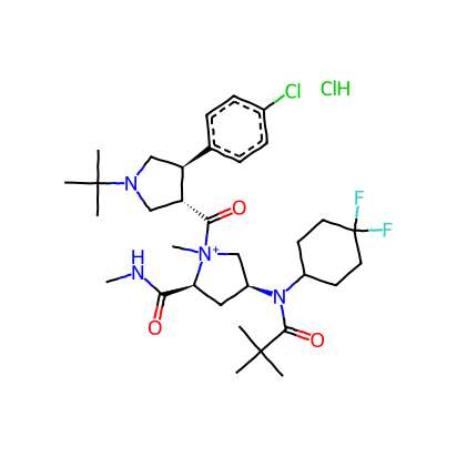 CNC(=O)[C@@H]1C[C@H](N(C(=O)C(C)(C)C)C2CCC(F)(F)CC2)C[N+]1(C)C(=O)[C@@H]1CN(C(C)(C)C)C[C@H]1c1ccc(Cl)cc1.Cl